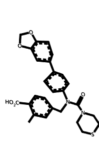 Cc1cc(CN(C(=O)N2CCSCC2)c2ccc(-c3ccc4c(c3)OCO4)cc2)ccc1C(=O)O